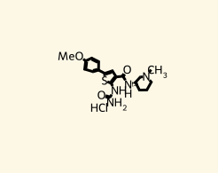 COc1ccc(-c2cc(C(=O)N[C@H]3CCCN(C)C3)c(NC(N)=O)s2)cc1.Cl